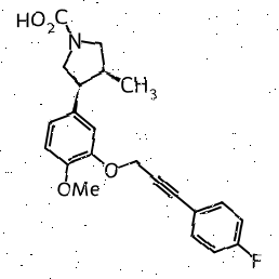 COc1ccc([C@H]2CN(C(=O)O)C[C@H]2C)cc1OCC#Cc1ccc(F)cc1